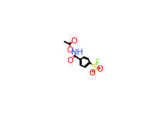 CC(=O)ONC(=O)c1ccc(S(=O)(=O)F)cc1